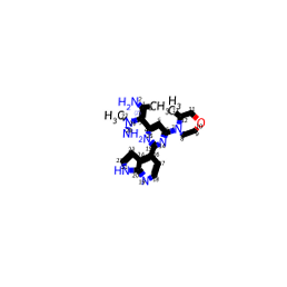 C/C(N)=C(\c1cc(N2CCOCC2C)nc(-c2ccnc3[nH]ccc23)n1)N(C)N